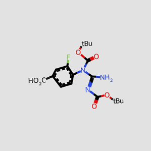 CC(C)(C)OC(=O)N=C(N)N(C(=O)OC(C)(C)C)c1ccc(C(=O)O)cc1F